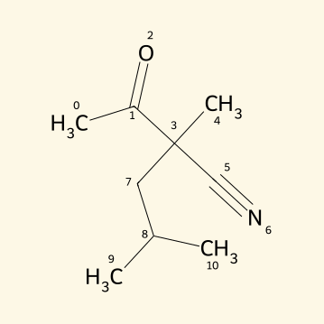 CC(=O)C(C)(C#N)CC(C)C